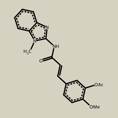 COc1ccc(C=CC(=O)Nc2nc3ccccc3n2C)cc1OC(C)=O